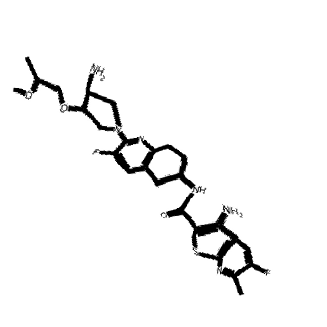 COC(C)COC1CN(c2nc3c(cc2F)CC(NC(=O)c2sc4nc(C)c(F)cc4c2N)CC3)CC1N